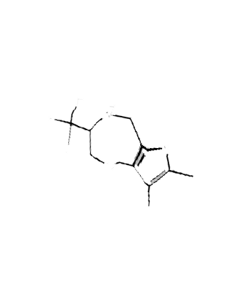 Cc1sc2c(c1C)OCC(C(F)(F)F)NC2